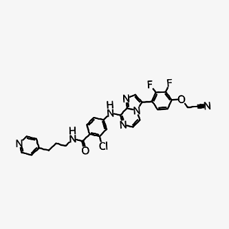 N#CCOc1ccc(-c2cnc3c(Nc4ccc(C(=O)NCCCc5ccncc5)c(Cl)c4)nccn23)c(F)c1F